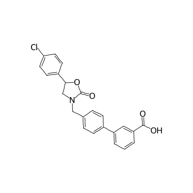 O=C(O)c1cccc(-c2ccc(CN3CC(c4ccc(Cl)cc4)OC3=O)cc2)c1